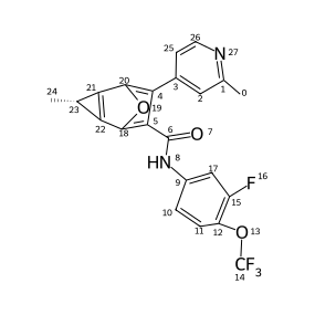 Cc1cc(-c2c(C(=O)Nc3ccc(OC(F)(F)F)c(F)c3)c3oc2c2c3[C@@H]2C)ccn1